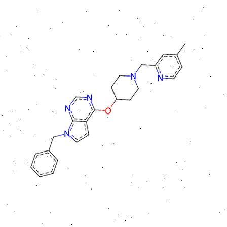 Cc1ccnc(CN2CCC(Oc3ncnc4c3ccn4Cc3ccccc3)CC2)c1